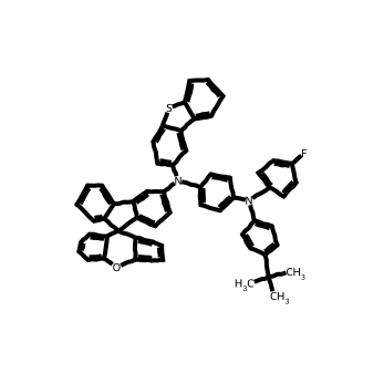 CC(C)(C)c1ccc(N(c2ccc(F)cc2)c2ccc(N(c3ccc4c(c3)-c3ccccc3C43c4ccccc4Oc4ccccc43)c3ccc4sc5ccccc5c4c3)cc2)cc1